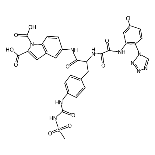 CS(=O)(=O)NC(=O)Nc1ccc(CC(NC(=O)C(=O)Nc2cc(Cl)ccc2-n2cnnn2)C(=O)Nc2ccc3c(c2)cc(C(=O)O)n3C(=O)O)cc1